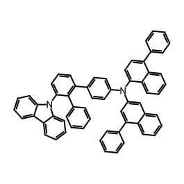 c1ccc(-c2c(-c3ccc(N(c4cc(-c5ccccc5)c5ccccc5c4)c4ccc(-c5ccccc5)c5ccccc45)cc3)cccc2-n2c3ccccc3c3ccccc32)cc1